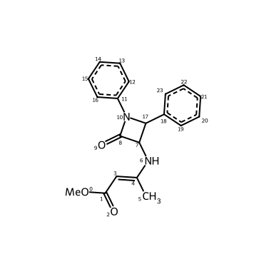 COC(=O)C=C(C)NC1C(=O)N(c2ccccc2)C1c1ccccc1